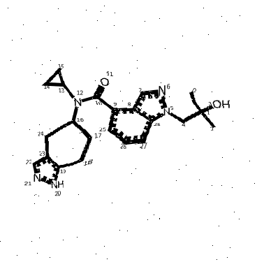 CC(C)(O)Cn1ncc2c(C(=O)N(C3CC3)C3CCc4[nH]ncc4C3)cccc21